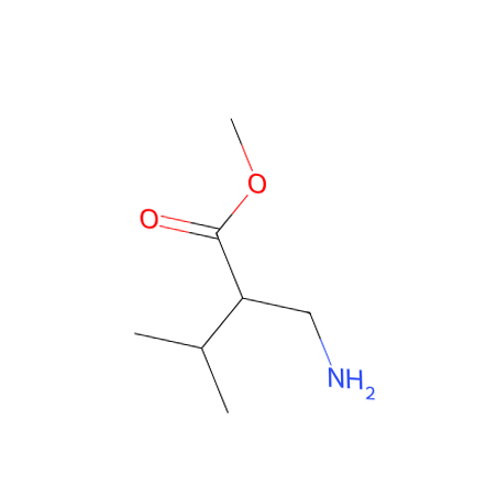 COC(=O)C(CN)C(C)C